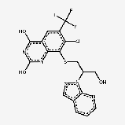 OCC(CSc1c(Cl)c(C(F)(F)F)cc2c(O)nc(O)nc12)n1ncc2cccnc21